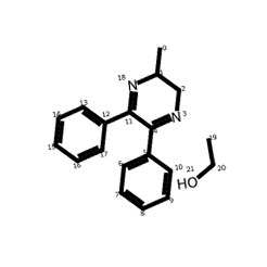 CC1CN=C(c2ccccc2)C(c2ccccc2)=N1.CCO